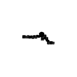 COCCOCOCCc1cccc(OC(Br)OCCOC)c1